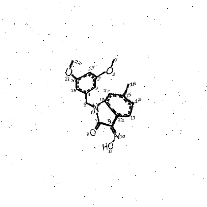 COc1cc(CN2C(=O)/C(=N\O)c3ccc(C)cc32)cc(OC)c1